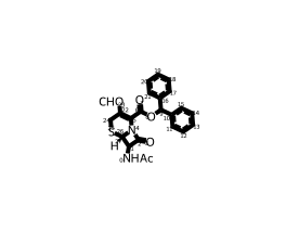 CC(=O)NC1C(=O)N2C(C(=O)OC(c3ccccc3)c3ccccc3)=C(C=O)CS[C@@H]12